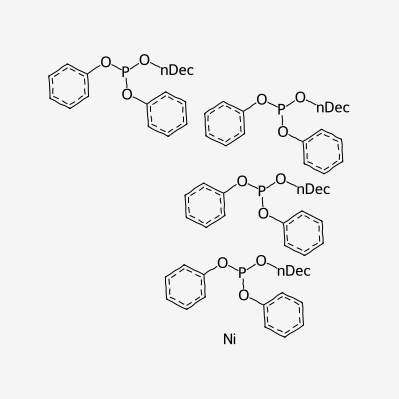 CCCCCCCCCCOP(Oc1ccccc1)Oc1ccccc1.CCCCCCCCCCOP(Oc1ccccc1)Oc1ccccc1.CCCCCCCCCCOP(Oc1ccccc1)Oc1ccccc1.CCCCCCCCCCOP(Oc1ccccc1)Oc1ccccc1.[Ni]